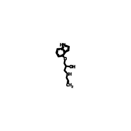 C=CCNCC(O)COc1cccc2[nH]ccc12